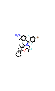 Cc1c(N)ccc2c1C[C@@H](C)N(CC(C)(F)CO[SiH](c1ccccc1)C(C)(C)C)[C@@H]2c1c(F)cc(Br)cc1F